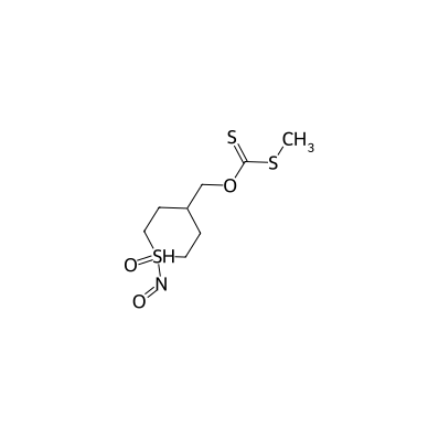 CSC(=S)OCC1CC[SH](=O)(N=O)CC1